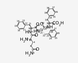 NC(=O)CC[C@H](N)C(=O)N[C@@H](Cc1ccccc1)C(=O)N[C@@H](Cc1ccccc1)C(=O)N[C@@H](Cc1ccccc1)C(=O)O